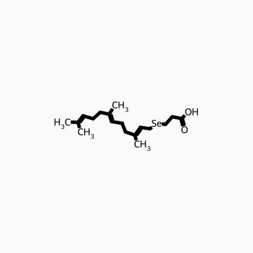 CC(C)=CCCC(C)=CCCC(C)=CC[Se]CCC(=O)O